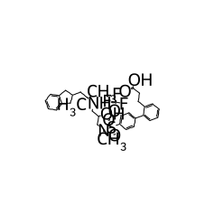 CN(C[C@H](O)CNC(C)(C)CC1Cc2ccccc2C1)S(=O)(=O)c1ccc(-c2ccccc2CCC(=O)O)cc1OC(F)(F)F